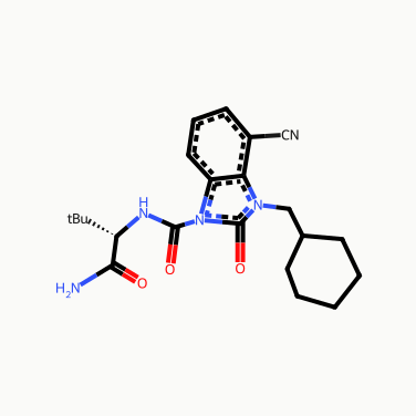 CC(C)(C)[C@H](NC(=O)n1c(=O)n(CC2CCCCC2)c2c(C#N)cccc21)C(N)=O